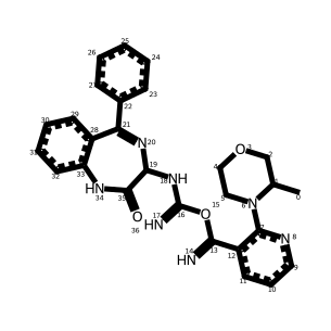 CC1COCCN1c1ncccc1C(=N)OC(=N)NC1N=C(c2ccccc2)c2ccccc2NC1=O